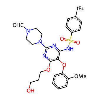 COc1ccccc1Oc1c(NS(=O)(=O)c2ccc(C(C)(C)C)cc2)nc(N2CCN(C=O)CC2)nc1OCCCO